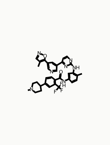 Cc1ccc(NC(=O)c2ccc(C3CCN(C)CC3)cc2C(F)(F)F)cc1Nc1nccc(-c2cncc(-c3oncc3C)c2)n1